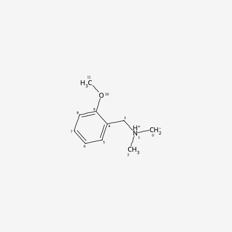 [CH2-][NH+](C)Cc1ccccc1OC